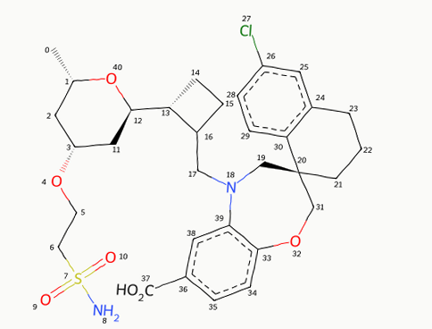 C[C@H]1C[C@@H](OCCS(N)(=O)=O)C[C@H]([C@@H]2CCC2CN2C[C@@]3(CCCc4cc(Cl)ccc43)COc3ccc(C(=O)O)cc32)O1